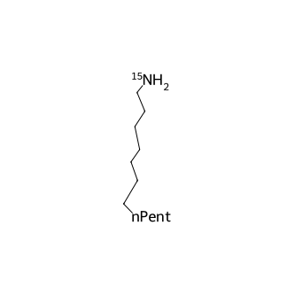 CCCCCCCCCCCC[15NH2]